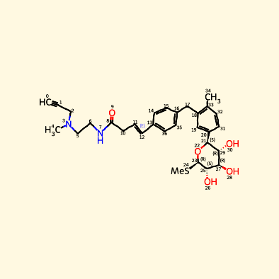 C#CCN(C)CCNC(=O)C/C=C/c1ccc(Cc2cc([C@@H]3O[C@H](SC)[C@@H](O)[C@H](O)[C@H]3O)ccc2C)cc1